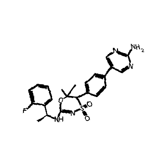 C[C@H](NC1=NS(=O)(=O)C(c2ccc(-c3cnc(N)nc3)cc2)C(C)(C)O1)c1ccccc1F